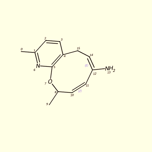 Cc1ccc2c(n1)OC(C)/C=C\C(N)=C/C2